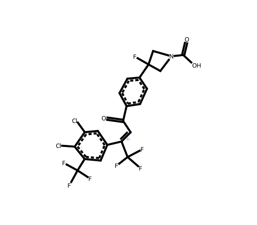 O=C(/C=C(\c1cc(Cl)c(Cl)c(C(F)(F)F)c1)C(F)(F)F)c1ccc(C2(F)CN(C(=O)O)C2)cc1